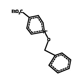 CCOC(=O)c1cc[n+](OCc2ccccc2)cc1